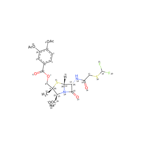 CC(=O)Oc1ccc(C(=O)OC[C@]2(C)S[C@@H]3[C@H](NC(=O)CSC(F)F)C(=O)N3[C@H]2C(=O)[O-])cc1OC(C)=O.[Na+]